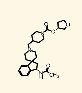 CC(=O)N[C@H]1CC2(CCN(CC3CCN(C(=O)O[C@@H]4CCOC4)CC3)CC2)c2ccccc21